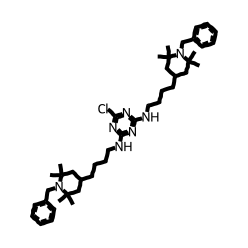 CC1(C)CC(CCCCNc2nc(Cl)nc(NCCCCC3CC(C)(C)N(Cc4ccccc4)C(C)(C)C3)n2)CC(C)(C)N1Cc1ccccc1